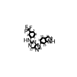 FC(F)(F)c1cccc(Nc2ncc3ncn(-c4ccc5cn[nH]c5c4)c3n2)c1